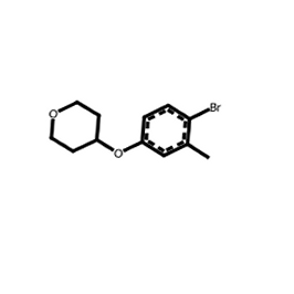 Cc1cc(OC2CCOCC2)ccc1Br